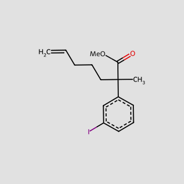 C=CCCCC(C)(C(=O)OC)c1cccc(I)c1